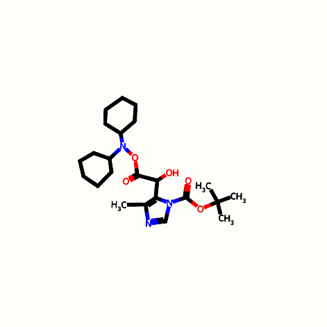 Cc1ncn(C(=O)OC(C)(C)C)c1C(O)C(=O)ON(C1CCCCC1)C1CCCCC1